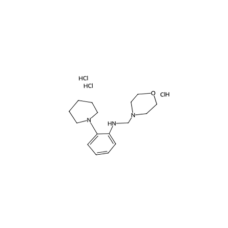 Cl.Cl.Cl.c1ccc(N2CCCCC2)c(NCN2CCOCC2)c1